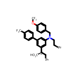 CC(C)CCN(Cc1ccc(OC(F)(F)F)cc1)c1cc(-c2ccc(C(F)(F)F)cc2)cc([C@@H](CC(C)C)C(=O)O)c1